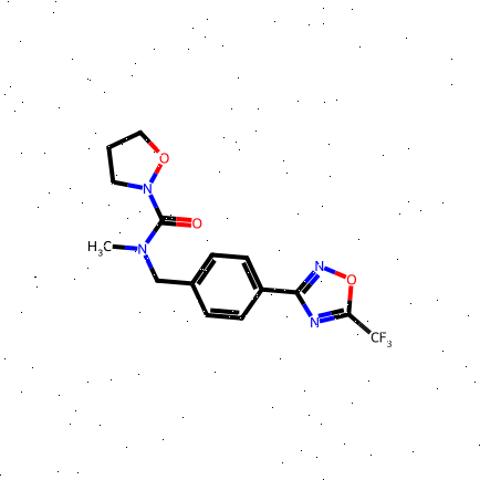 CN(Cc1ccc(-c2noc(C(F)(F)F)n2)cc1)C(=O)N1CCCO1